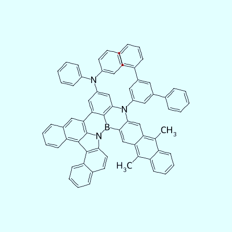 Cc1c2ccccc2c(C)c2cc3c(cc12)B1c2c(cc(N(c4ccccc4)c4ccccc4)cc2N3c2cc(-c3ccccc3)cc(-c3ccccc3)c2)-c2cc3ccccc3c3c4c5ccccc5ccc4n1c23